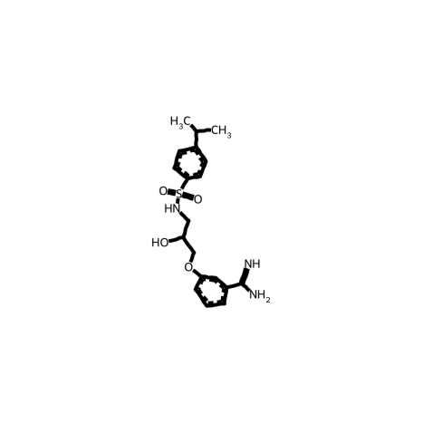 CC(C)c1ccc(S(=O)(=O)NCC(O)COc2cccc(C(=N)N)c2)cc1